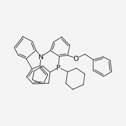 c1ccc(COc2cccc(-n3c4ccccc4c4ccccc43)c2P(C2CCCCC2)C2CCCCC2)cc1